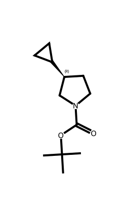 CC(C)(C)OC(=O)N1CC[C@H](C2CC2)C1